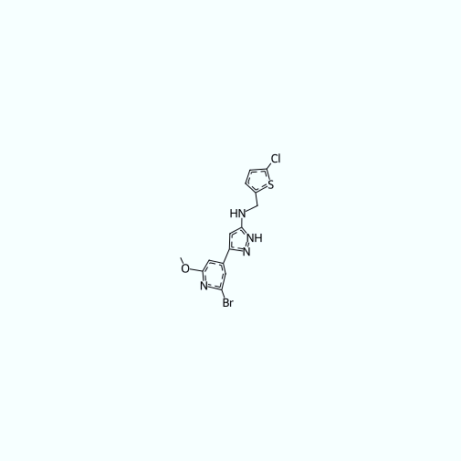 COc1cc(-c2cc(NCc3ccc(Cl)s3)[nH]n2)cc(Br)n1